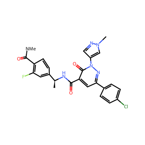 CNC(=O)c1ccc([C@H](C)NC(=O)c2cc(-c3ccc(Cl)cc3)nn(-c3cnn(C)c3)c2=O)cc1F